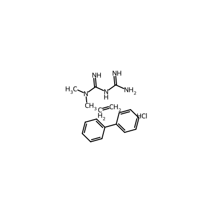 C=C.CN(C)C(=N)NC(=N)N.Cl.c1ccc(-c2ccccc2)cc1